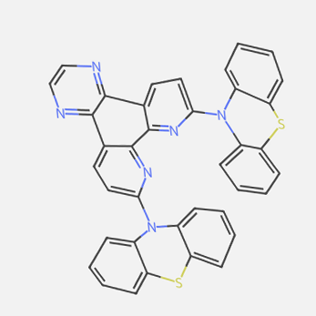 c1ccc2c(c1)Sc1ccccc1N2c1ccc2c3nccnc3c3ccc(N4c5ccccc5Sc5ccccc54)nc3c2n1